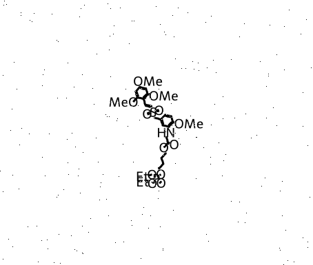 CCOP(=O)(OCC)OCCCCOC(=O)CNc1cc(CS(=O)(=O)/C=C/c2c(OC)cc(OC)cc2OC)ccc1OC